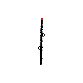 CCCCCCCCCCCCCCCCOC(=O)CCCCCCCCCCCCC(=O)OCCCCCCCCCCCCCCCC